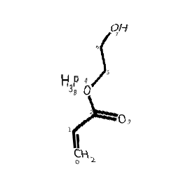 C=CC(=O)OCCO.P